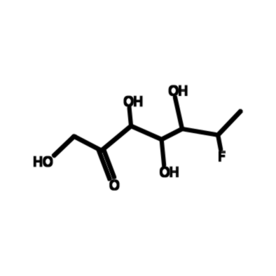 CC(F)C(O)C(O)C(O)C(=O)CO